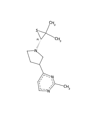 Cc1nccc(C2CCN([C@@H]3SC3(C)C)C2)n1